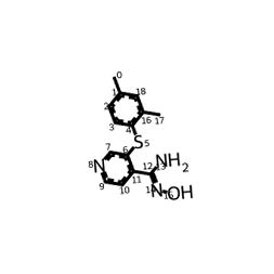 Cc1ccc(Sc2cnccc2C(N)=NO)c(C)c1